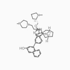 CN1CCN(CCNC(=O)N2C[C@H]3CC[C@@H](C2)N3c2nc(OC[C@@H]3CCCN3C)nc3cc(-c4cc(O)cc5ccccc45)ccc23)CC1